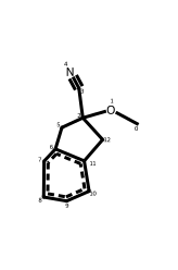 COC1(C#N)Cc2ccccc2C1